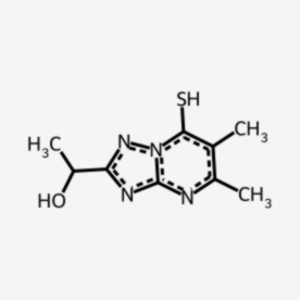 Cc1nc2nc(C(C)O)nn2c(S)c1C